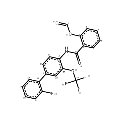 O=COc1ccccc1C(=O)Nc1ccc(-c2ccccc2F)cc1OC(F)(F)F